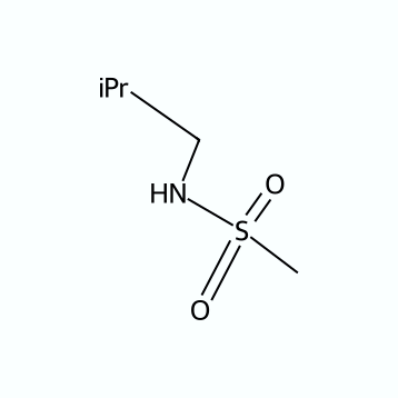 [CH2]C(C)CNS(C)(=O)=O